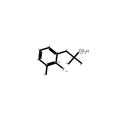 Cc1cccc(CC(C)(C)C(=O)O)c1F